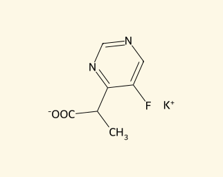 CC(C(=O)[O-])c1ncncc1F.[K+]